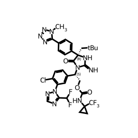 Cn1nnnc1-c1ccc([C@@]2(CC(C)(C)C)NC(=N)N([C@H](COC(=O)NC3(C(F)(F)F)CC3)c3ccc(Cl)c(-n4ncnc4C(F)F)c3)C2=O)cc1